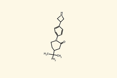 CC(C)(P)C1CCN(c2ccc(C3CNC3)cc2)C(=O)C1